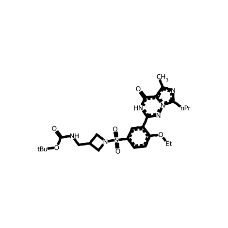 CCCc1nc(C)c2c(=O)[nH]c(-c3cc(S(=O)(=O)N4CC(CNC(=O)OC(C)(C)C)C4)ccc3OCC)nn12